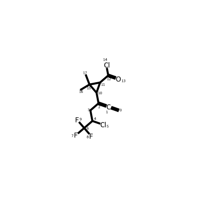 C=C=C(CC(Cl)C(F)(F)F)C1C(C(=O)Cl)C1(C)C